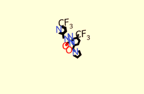 O=C(C1CCC(C(F)(F)F)c2nn(Cc3ccc(C(F)(F)F)nc3)c(=O)n21)N1CCCC1